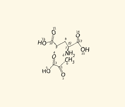 CC(=O)C(=O)O.N[C@@H](CCC(=O)O)C(=O)O